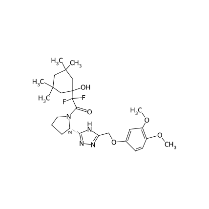 COc1ccc(OCc2nnc([C@@H]3CCCN3C(=O)C(F)(F)C3(O)CC(C)(C)CC(C)(C)C3)[nH]2)cc1OC